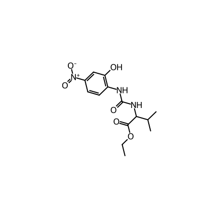 CCOC(=O)C(NC(=O)Nc1ccc([N+](=O)[O-])cc1O)C(C)C